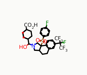 O=C(O)C12CCC(C(O)N3CC4CCc5cc(C(F)(C(F)(F)F)C(F)(F)F)ccc5C4(S(=O)(=O)c4ccc(F)cc4)C3)(CC1)CC2